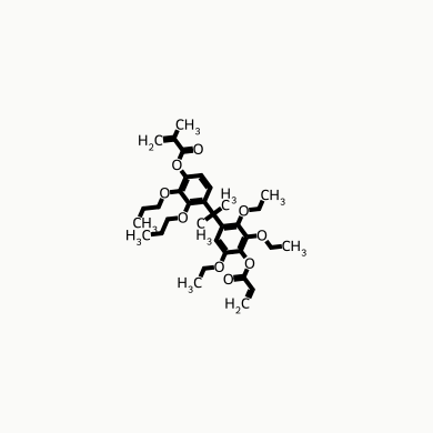 C=CC(=O)Oc1c(OCC)cc(C(C)(C)c2ccc(OC(=O)C(=C)C)c(OCCC)c2OCCC)c(OCC)c1OCC